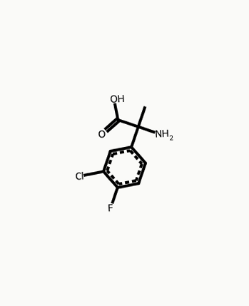 CC(N)(C(=O)O)c1ccc(F)c(Cl)c1